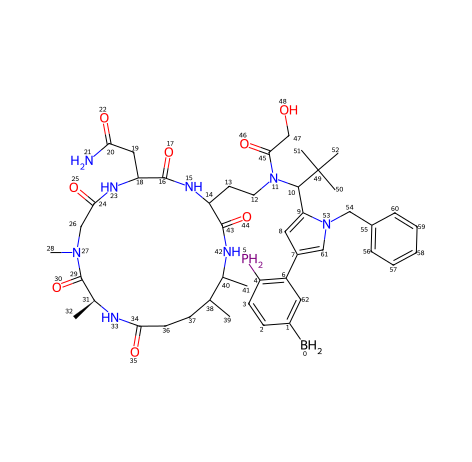 Bc1ccc(P)c(-c2cc(C(N(CCC3NC(=O)C(CC(N)=O)NC(=O)CN(C)C(=O)[C@H](C)NC(=O)CCC(C)C(C)NC3=O)C(=O)CO)C(C)(C)C)n(Cc3ccccc3)c2)c1